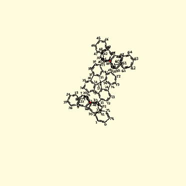 C1=CCC(N(c2ccccc2)c2ccc3c(c2)C2(c4cc(N(c5ccccc5)c5ccccc5)ccc4-c4ccc(N(c5ccccc5)c5ccccc5)cc42)c2cc(N(c4ccccc4)c4ccccc4)ccc2-3)C=C1